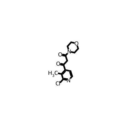 Cc1c(C(=O)CC(=O)N2CCOCC2)ccnc1Cl